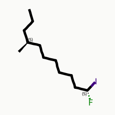 CCC[C@H](C)CCCCCC[C@@H](F)I